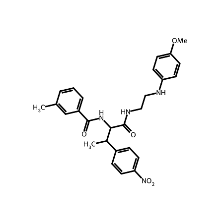 COc1ccc(NCCNC(=O)C(NC(=O)c2cccc(C)c2)C(C)c2ccc([N+](=O)[O-])cc2)cc1